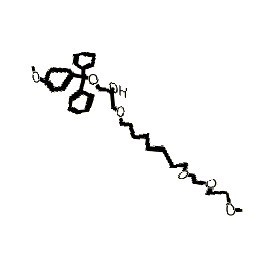 COCCOCCOCCCCCCCCOCC(O)COC(c1ccccc1)(c1ccccc1)c1ccc(OC)cc1